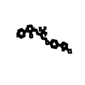 O=C1N(CCC(CCOc2ccc(-c3ccc(Cl)s3)cc2)C(F)(F)F)CCN1c1ccncc1